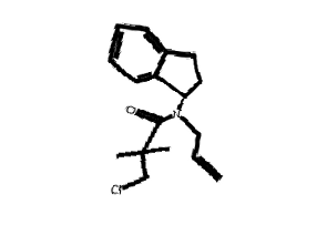 C=CCN(C(=O)C(C)(C)CCl)[C@@H]1CCc2ccccc21